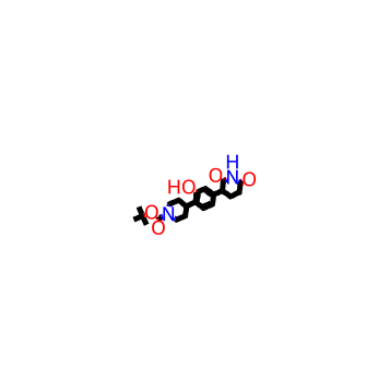 CC(C)(C)OC(=O)N1CCC(c2ccc(C3CCC(=O)NC3=O)cc2O)CC1